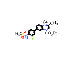 CCOC(=O)N1C[C@H](C)N(C(C)=O)c2ccc(-c3ccc(NS(C)(=O)=O)c(F)c3)cc21